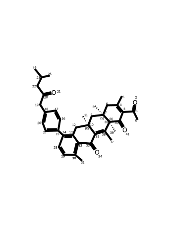 CC(=O)C1=C(C)C[C@]2(C)C[C@]3(C)Cc4c(-c5ccc(CC(=O)CC(C)C)cc5)ccc(C)c4C(=O)C3=C(C)[C@]2(C)C1=O